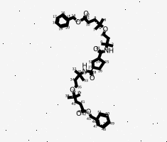 CC(C)(CCOC(C)(C)CCC(=O)OCc1ccccc1)NC(=O)C1CC[C@@H](C(=O)NC(C)(C)CCOC(C)(C)CCC(=O)OCc2ccccc2)C1